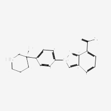 CC[C@@]1(c2ccc(-n3cc4cccc(C(N)=O)c4n3)cc2)CCCNC1